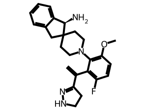 C=C(C1=NNCC1)c1c(F)ccc(OC)c1N1CCC2(CC1)Cc1ccccc1[C@H]2N